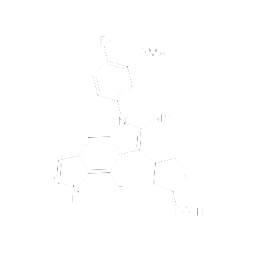 COc1cc(-n2c(C(C)C)c(C3CCC(C(=O)O)C3)c3c(F)c4[nH]ncc4cc32)ccc1F